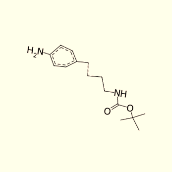 CC(C)(C)OC(=O)NCCCCc1ccc(N)cc1